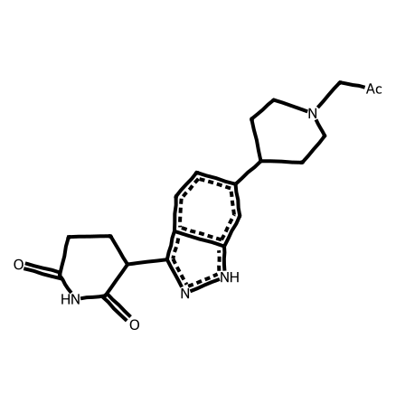 CC(=O)CN1CCC(c2ccc3c(C4CCC(=O)NC4=O)n[nH]c3c2)CC1